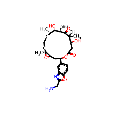 CCCC[C@H]1C(=O)C(C)(C)C(O)CC(=O)OC(c2ccc3oc(CN)nc3c2)CC2O[C@]2(C)CCC[C@H](C)[C@@H]1O